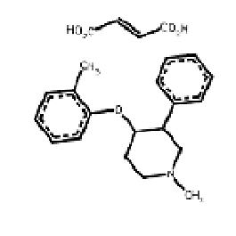 Cc1ccccc1OC1CCN(C)CC1c1ccccc1.O=C(O)C=CC(=O)O